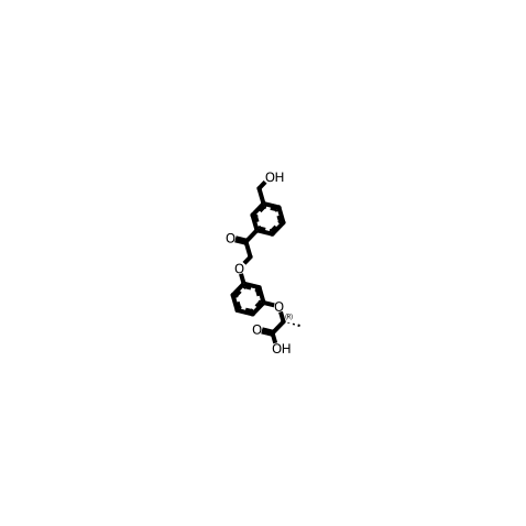 C[C@@H](Oc1cccc(OCC(=O)c2cccc(CO)c2)c1)C(=O)O